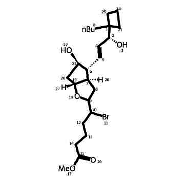 CCCCC1([C@H](O)/C=C/[C@@H]2[C@H]3CC(C(Br)CCCC(=O)OC)O[C@@H]3C[C@H]2O)CCC1